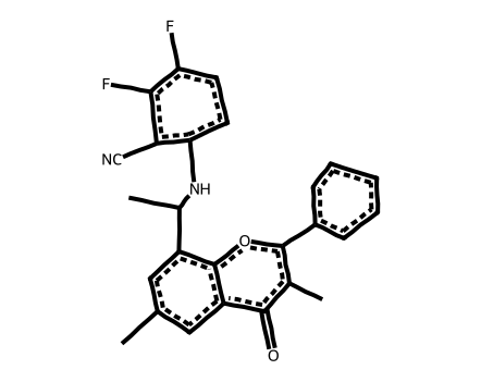 Cc1cc(C(C)Nc2ccc(F)c(F)c2C#N)c2oc(-c3ccccc3)c(C)c(=O)c2c1